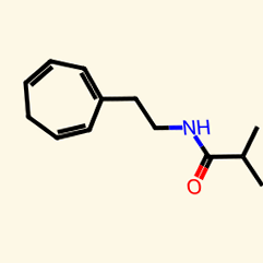 CC(C)C(=O)NCCC1=CC=CCC=C1